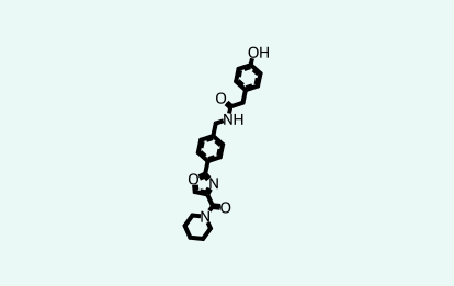 O=C(Cc1ccc(O)cc1)NCc1ccc(-c2nc(C(=O)N3CCCCC3)co2)cc1